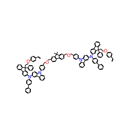 C=Cc1ccc(OCCC2(c3ccccc3)c3ccccc3-c3ccc(N(c4ccc(-c5ccccc5)cc4)c4ccc5c(c4)c4ccccc4n5-c4ccc(COCc5ccc6c(c5)C(C)(C)c5cc(COCc7ccc(-n8c9ccccc9c9cc(N(c%10ccc(-c%11ccccc%11)cc%10)c%10ccc%11c(c%10)C(CCOc%10ccc(C=C)cc%10)(c%10ccccc%10)c%10ccccc%10-%11)ccc98)cc7)ccc5-6)cc4)cc32)cc1